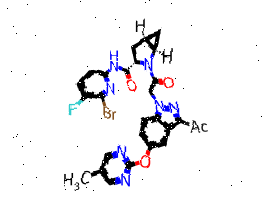 CC(=O)c1nn(CC(=O)N2[C@@H]3C[C@@H]3C[C@H]2C(=O)Nc2ccc(F)c(Br)n2)c2ccc(Oc3ncc(C)cn3)cc12